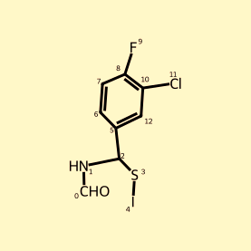 O=CNC(SI)c1ccc(F)c(Cl)c1